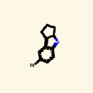 N#Cc1ccc2c(c1)=C1CCCC1N=2